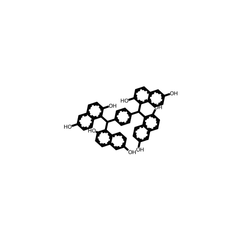 Oc1ccc2c(C(c3ccc(C(c4c(O)ccc5cc(O)ccc45)c4c(O)ccc5cc(O)ccc45)cc3)c3c(O)ccc4cc(O)ccc34)c(O)ccc2c1